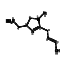 CCN1CC(CC(=O)O)N=C1CC=CO